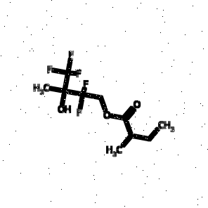 CCC(C)C(=O)OCC(F)(F)C(C)(O)C(F)(F)F